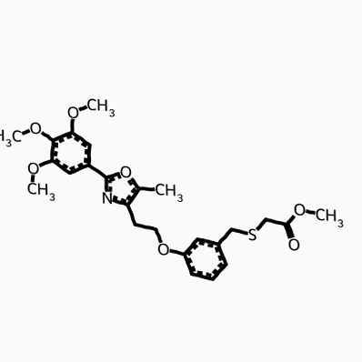 COC(=O)CSCc1cccc(OCCc2nc(-c3cc(OC)c(OC)c(OC)c3)oc2C)c1